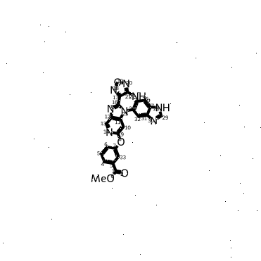 COC(=O)c1cccc(Oc2cc3c(cn2)nc(-c2nonc2N)n3-c2ccc3[nH]cnc3c2)c1